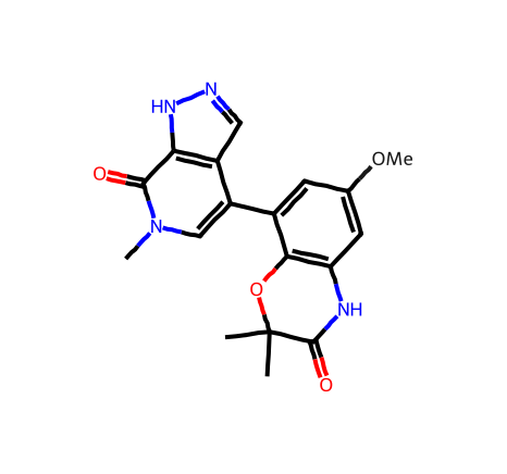 COc1cc2c(c(-c3cn(C)c(=O)c4[nH]ncc34)c1)OC(C)(C)C(=O)N2